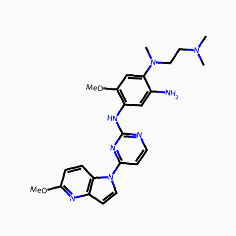 COc1ccc2c(ccn2-c2ccnc(Nc3cc(N)c(N(C)CCN(C)C)cc3OC)n2)n1